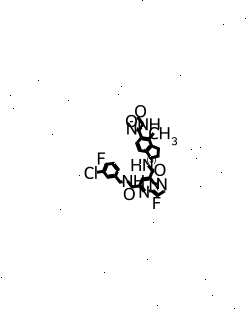 Cc1c(-c2noc(=O)[nH]2)ccc2c1CC[C@@H]2NC(=O)c1cc(C(=O)NCc2ccc(F)c(Cl)c2)nc2c(F)cnn12